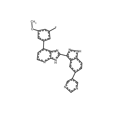 COc1cc(F)cc(-c2ccnc3[nH]c(-c4n[nH]c5ccc(-c6cncnc6)cc45)nc23)c1